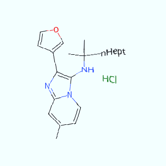 CCCCCCCC(C)(C)Nc1c(-c2ccoc2)nc2cc(C)ccn12.Cl